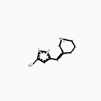 Cc1cc(/C=C2/CCCNC2)on1